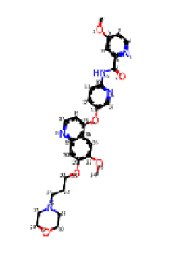 COc1ccnc(C(=O)Nc2ccc(Oc3ccnc4cc(OCCCN5CCOCC5)c(OC)cc34)cn2)c1